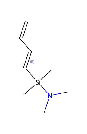 C=C/C=C/[Si](C)(C)N(C)C